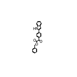 O=C(OCc1ccccc1)C(=O)c1ccc(-c2cc3ccccc3[nH]2)cc1